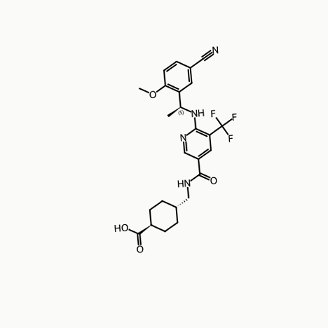 COc1ccc(C#N)cc1[C@H](C)Nc1ncc(C(=O)NC[C@H]2CC[C@H](C(=O)O)CC2)cc1C(F)(F)F